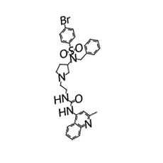 Cc1cc(NC(=O)NCCN2CCC(N(Cc3ccccc3)S(=O)(=O)c3ccc(Br)cc3)C2)c2ccccc2n1